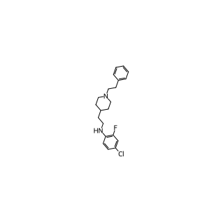 Fc1cc(Cl)ccc1NCCC1CCN(CCc2ccccc2)CC1